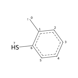 [CH]c1ccccc1S